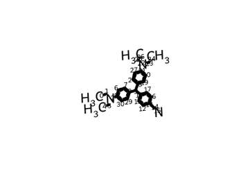 CCN(CC)c1ccc(C(c2ccc(C#N)cc2)c2ccc(N(CC)CC)cc2)cc1